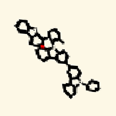 Cc1cccc(-c2cccc3c2oc2ccccc23)c1-n1c2ccccc2c2cc(-c3ccc4c(c3)c3ccccc3n4-c3ccccc3)ccc21